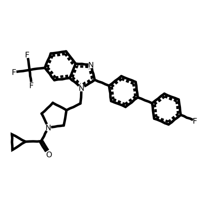 O=C(C1CC1)N1CCC(Cn2c(-c3ccc(-c4ccc(F)cc4)cc3)nc3ccc(C(F)(F)F)cc32)C1